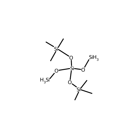 C[Si](C)(C)O[Si](O[SiH3])(O[SiH3])O[Si](C)(C)C